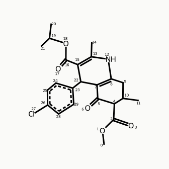 COC(=O)C1C(=O)C2=C(CC1C)NC(C)=C(C(=O)OC(C)C)C2c1ccc(Cl)cc1